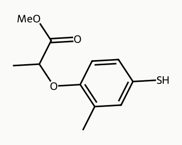 COC(=O)C(C)Oc1ccc(S)cc1C